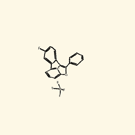 F[B-](F)(F)F.Fc1ccc2c(c1)-c1cccc3oc(-c4ccccc4)c-2[n+]13